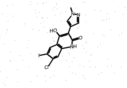 Cn1cc(-c2c(O)c3cc(I)c(Cl)cc3[nH]c2=O)cn1